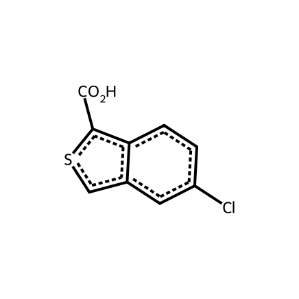 O=C(O)c1scc2cc(Cl)ccc12